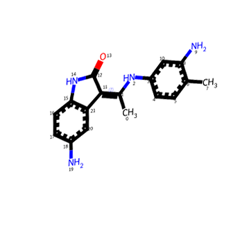 C/C(Nc1ccc(C)c(N)c1)=C1/C(=O)Nc2ccc(N)cc21